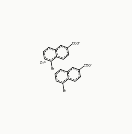 O=C([O-])c1ccc2c(Br)cccc2c1.O=C([O-])c1ccc2c(Br)cccc2c1.[Zn+2]